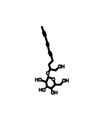 CC#CC#CC#CCCC(CO)O[C@@H]1OC(CO)[C@@H](O)[C@H](O)C1O